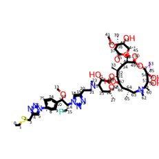 CCSCc1cn(-c2ccc([C@@H](OC)[C@@H](CF)n3cc(CCN(C)[C@H]4C[C@@H](C)O[C@@H](O[C@@H]5[C@@H](C)[C@H](O[C@H]6C[C@@](C)(OC)[C@@H](O)[C@H](C)O6)[C@@H](C)C(=O)O[C@H](I)[C@@](C)(O)[C@H](O)[C@@H](C)N(C)C[C@H](C)C[C@@]5(C)O)[C@@H]4O)nn3)cc2)nn1